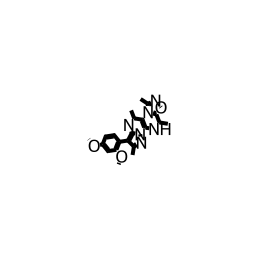 COc1ccc(-c2c(C)nn3c(NC(C)c4nc(C)no4)cc(C)nc23)c(OC)c1